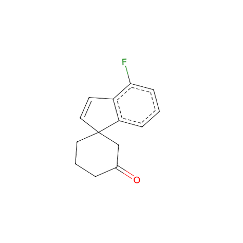 O=C1CCCC2(C=Cc3c(F)cccc32)C1